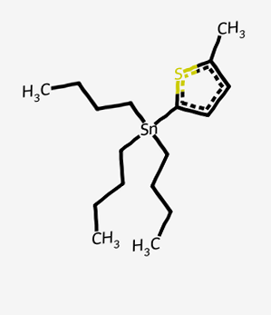 CCC[CH2][Sn]([CH2]CCC)([CH2]CCC)[c]1ccc(C)s1